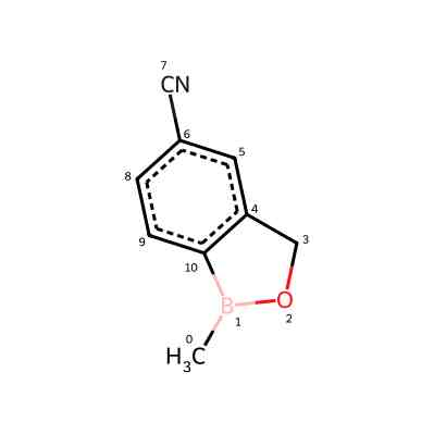 CB1OCc2cc(C#N)ccc21